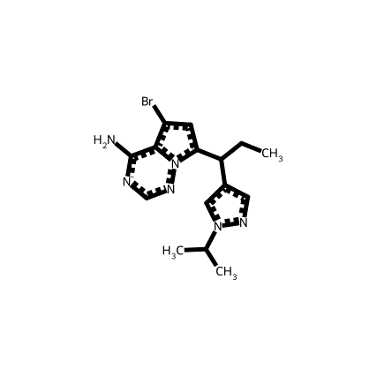 CCC(c1cnn(C(C)C)c1)c1cc(Br)c2c(N)ncnn12